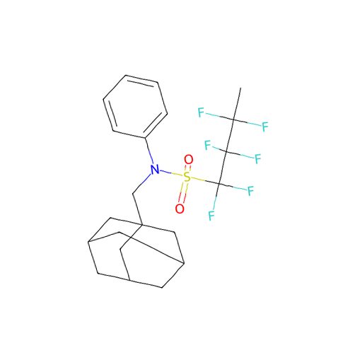 CC(F)(F)C(F)(F)C(F)(F)S(=O)(=O)N(CC12CC3CC(CC(C3)C1)C2)c1ccccc1